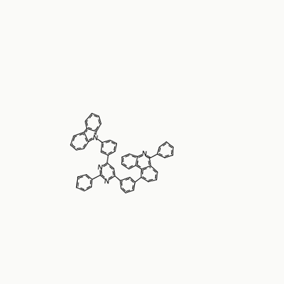 c1ccc(-c2nc(-c3cccc(-c4cccc5c(-c6ccccc6)nc6ccccc6c45)c3)cc(-c3cccc(-n4c5ccccc5c5ccccc54)c3)n2)cc1